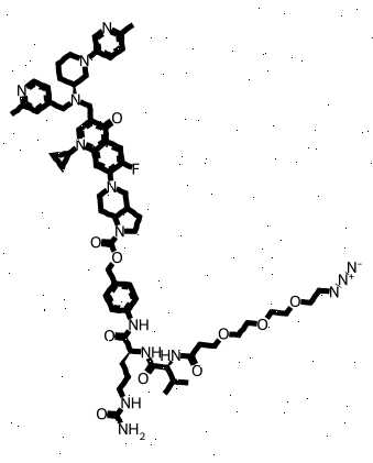 Cc1ccc(N2CCC[C@H](N(Cc3ccnc(C)c3)Cc3cn(C4CC4)c4cc(N5CCC6C(CCN6C(=O)OCc6ccc(NC(=O)[C@H](CCCNC(N)=O)NC(=O)[C@@H](NC(=O)CCOCCOCCOCCN=[N+]=[N-])C(C)C)cc6)C5)c(F)cc4c3=O)C2)cn1